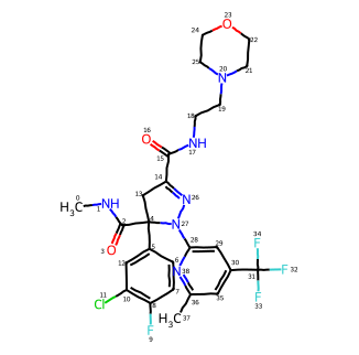 CNC(=O)C1(c2ccc(F)c(Cl)c2)CC(C(=O)NCCN2CCOCC2)=NN1c1cc(C(F)(F)F)cc(C)n1